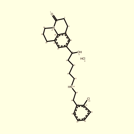 Cl.O=C1CCc2cc(C(O)CCCCNCCc3ccccc3Cl)cc3c2N1CCC3